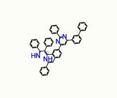 N=C(/C(=C1\NC(c2ccccc2)=Cc2ccc(-c3cc(-c4cccc(-c5ccccc5)c4)nc(-c4ccccc4)n3)cc21)c1ccccc1)c1ccccc1